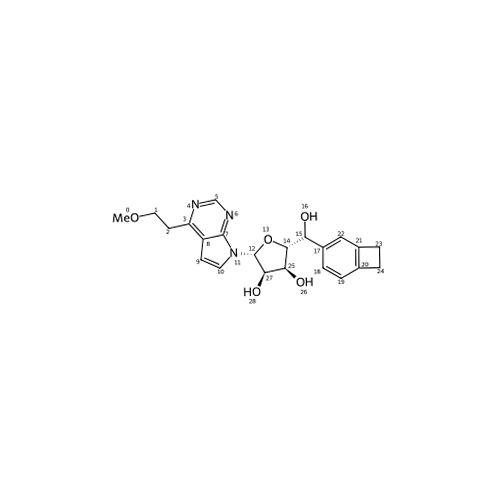 COCCc1ncnc2c1ccn2[C@@H]1O[C@H](C(O)c2ccc3c(c2)CC3)[C@@H](O)[C@H]1O